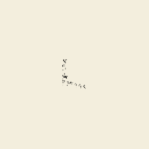 [C+4].[Cl-].[Cl-].[Cl-].[Cl-].[Cl-].[Cl-].[Cl-].[Mg+2].[Na+]